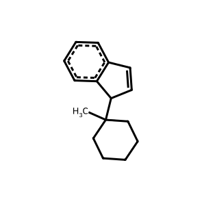 CC1(C2C=Cc3ccccc32)CCCCC1